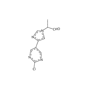 CC(C=O)n1cnc(-c2cnc(Cl)nc2)c1